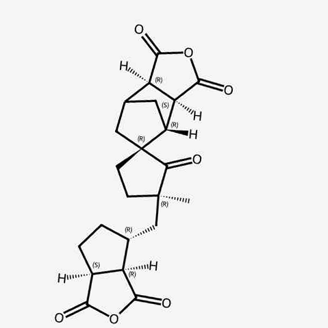 C[C@]1(C[C@H]2CC[C@@H]3C(=O)OC(=O)[C@H]23)CC[C@]2(CC3C[C@@H]2[C@@H]2C(=O)OC(=O)[C@H]32)C1=O